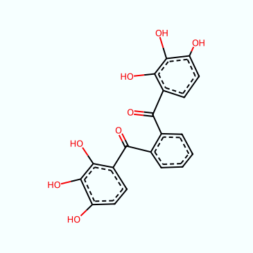 O=C(c1ccccc1C(=O)c1ccc(O)c(O)c1O)c1ccc(O)c(O)c1O